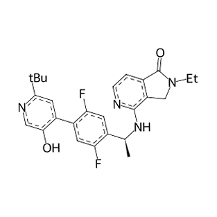 CCN1Cc2c(ccnc2N[C@@H](C)c2cc(F)c(-c3cc(C(C)(C)C)ncc3O)cc2F)C1=O